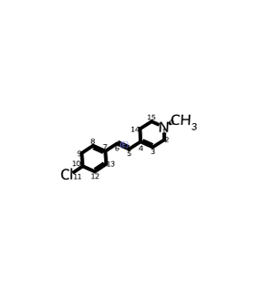 CN1CC=C(/C=C/C2=CCC(Cl)C=C2)CC1